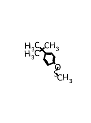 CSOc1ccc(C(C)(C)C)cc1